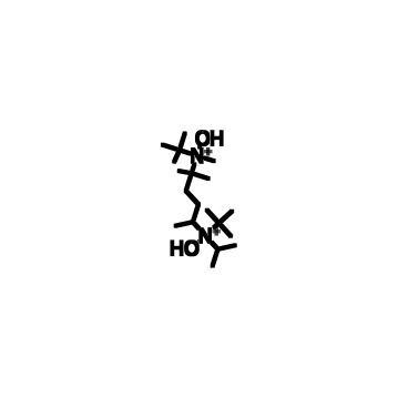 CC(C)[N+](O)(C(C)CCC(C)(C)[N+](C)(O)C(C)(C)C)C(C)(C)C